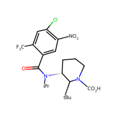 CC(C)N(C(=O)c1cc([N+](=O)[O-])c(Cl)cc1C(F)(F)F)[C@@H]1CCCN(C(=O)O)C1C(C)(C)C